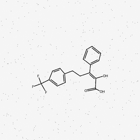 O=C(O)/C(O)=C(\CCc1ccc(C(F)(F)F)cc1)c1ccccc1